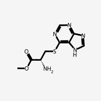 COC(=O)[C@@H](N)CSc1ncnc2nc[nH]c12